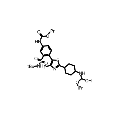 CC(C)OC(=O)Nc1ccc(-c2sc(C3CCC(NC(O)OC(C)C)CC3)nc2F)c(S(=O)(=O)NC(C)(C)C)c1